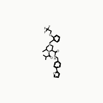 CC(C)C(=O)N1C(C)CN(Cc2ccccc2OCC(F)(F)F)CC1C(=O)NCc1ccc(-c2ccco2)cc1